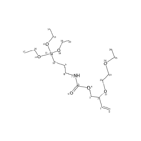 C=CC(COC(=O)NCCC[Si](OCC)(OCC)OCC)OCCOCC